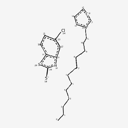 CCCCCCCCCCCC[n+]1ccccc1.[S-]c1nc2cc(Cl)ccc2s1